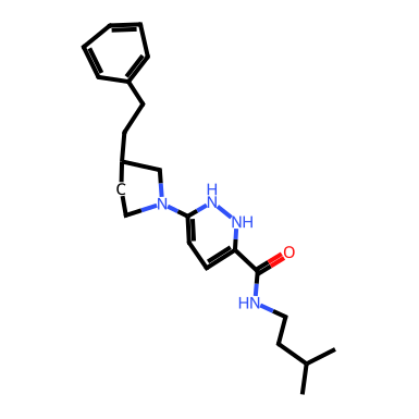 CC(C)CCNC(=O)C1=CC=C(N2CCC(CCc3ccccc3)C2)NN1